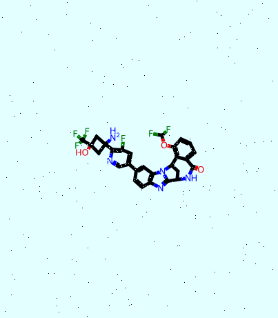 NC1(c2ncc(-c3ccc4nc5n(c4c3)C3CC5NC(=O)c4cccc(OC(F)F)c43)cc2F)CC(O)(C(F)(F)F)C1